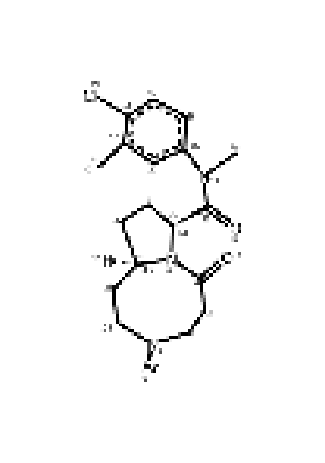 CC(=O)N1CCC(=O)N2[C@H](CC[C@H]2C(=O)N(C)c2ccc(Cl)c(Cl)c2)CC1